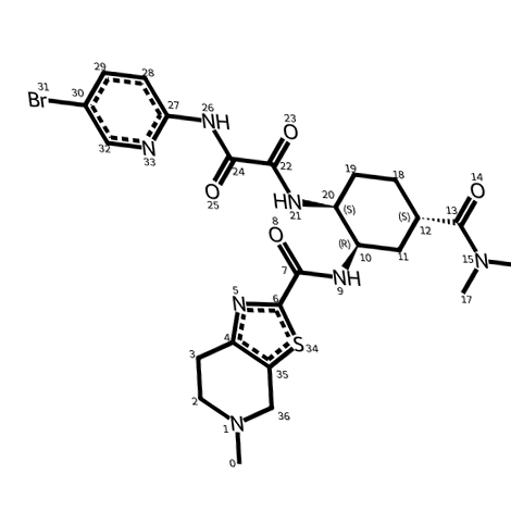 CN1CCc2nc(C(=O)N[C@@H]3C[C@@H](C(=O)N(C)C)CC[C@@H]3NC(=O)C(=O)Nc3ccc(Br)cn3)sc2C1